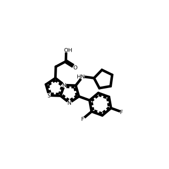 O=C(O)Cc1csc2nc(-c3ccc(F)cc3F)c(NC3CCCC3)n12